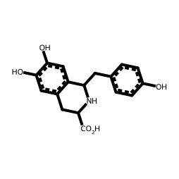 O=C(O)C1Cc2cc(O)c(O)cc2C(Cc2ccc(O)cc2)N1